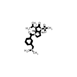 CC(C)[C@H]1C(=O)N(S(C)(=O)=O)[C@H]2CCN(C(=O)c3cccc(CN(C)C)c3)[C@H]12